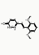 COc1cccc(SC)c1C=Cc1ccc(=O)[nH]n1